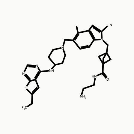 Cc1c(CN2CCC(Nc3ncnc4sc(CC(F)(F)F)cc34)CC2)ccc2c1cc(C#N)n2CC12CC(C(=O)NCCN)(C1)C2